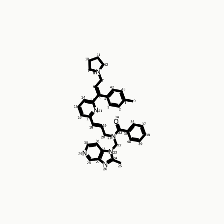 Cc1ccc(/C(=C\CN2CCCC2)c2cccc(/C=C/CN(Cn3c(C)nc4cnccc43)C(=O)c3ccccc3)n2)cc1